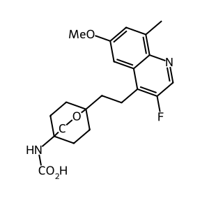 COc1cc(C)c2ncc(F)c(CCC34CCC(NC(=O)O)(CC3)CO4)c2c1